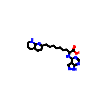 O=C(O)[C@H](CCCCCCCc1ccc2c(n1)NCCC2)Nc1ncnc2[nH]ncc12